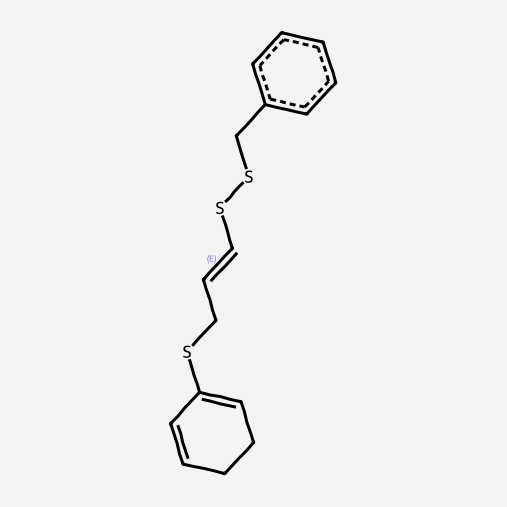 C1=CC(SC/C=C/SSCc2ccccc2)=CCC1